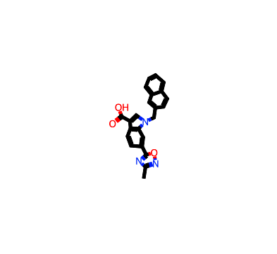 Cc1noc(-c2ccc3c(C(=O)O)cn(Cc4ccc5ccccc5c4)c3c2)n1